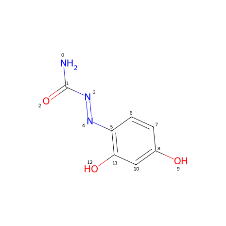 NC(=O)N=Nc1ccc(O)cc1O